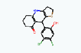 O=C1CCCC2=C1C(c1cc(Br)c(F)cc1O)C1=C(CCS1)N2